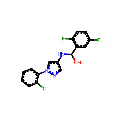 OC(Nc1cnn(-c2ccccc2Cl)c1)c1cc(F)ccc1F